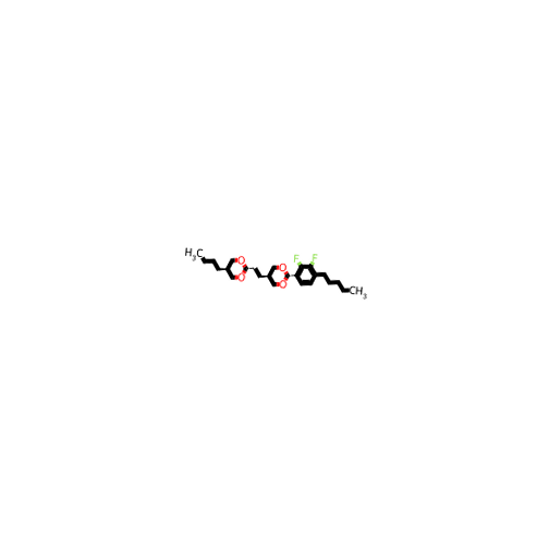 CCCCCc1ccc([C@H]2OC[C@H](CC[C@H]3OC[C@H](CCCC)CO3)CO2)c(F)c1F